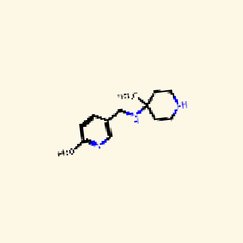 CCOC(=O)C1(NCc2ccc(OC)nc2)CCNCC1